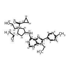 CCn1c(-c2cnc(C)nc2)nc2c(NC3C[C@H](C(N)=O)[N+](CCO)(C(=O)C4CC4)C3)ncnc21